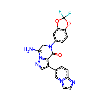 N[C@H]1CN(c2ccc3c(c2)OC(F)(F)O3)C(=O)c2c(-c3ccc4nccn4c3)cnn21